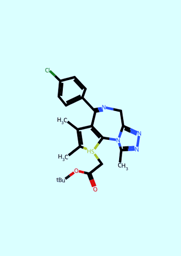 CC1=C(C)[SH](CC(=O)OC(C)(C)C)C2=C1C(c1ccc(Cl)cc1)=NCc1nnc(C)n12